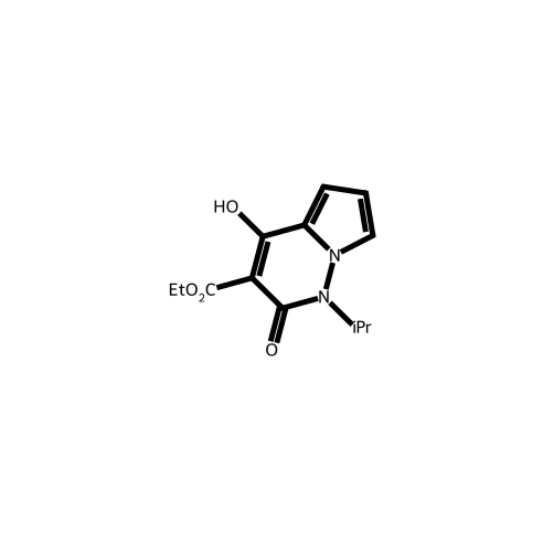 CCOC(=O)c1c(O)c2cccn2n(C(C)C)c1=O